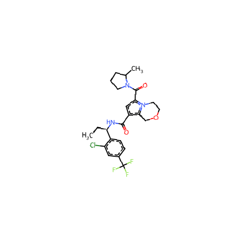 CC[C@@H](NC(=O)c1cc(C(=O)N2CCCC2C)n2c1COCC2)c1ccc(C(F)(F)F)cc1Cl